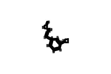 CO/N=C/c1[c]c(Cl)ccc1